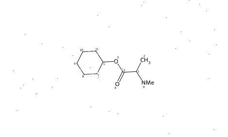 CNC(C)C(=O)OC1CCCCC1